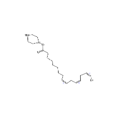 CC/C=C\C/C=C\C/C=C\CCCCCCCC(=O)ON1CCNCC1